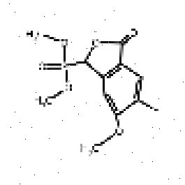 COc1cc2c(cc1F)C(=O)OC2P(=O)(OC)OC